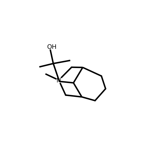 CN1CC2CCCC(C1)C2CC(C)(C)O